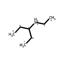 C[CH][SiH2]C(CC)CC